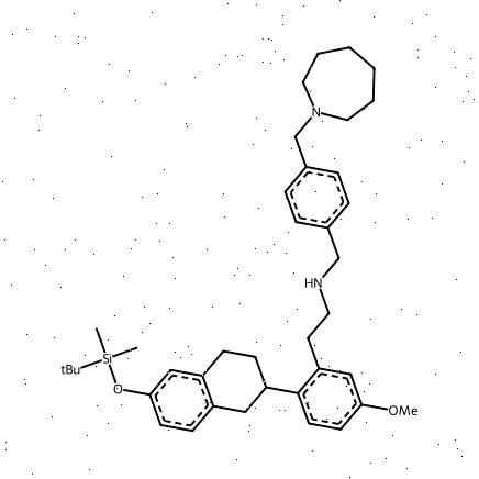 COc1ccc(C2CCc3cc(O[Si](C)(C)C(C)(C)C)ccc3C2)c(CCNCc2ccc(CN3CCCCCC3)cc2)c1